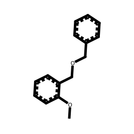 COc1ccccc1CO[CH]c1ccccc1